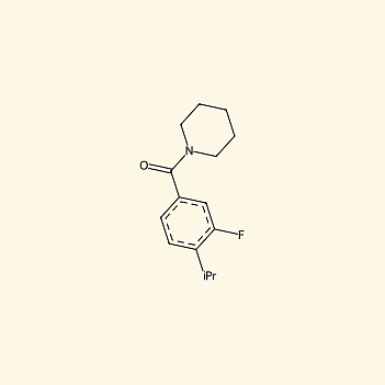 CC(C)c1ccc(C(=O)N2CCCCC2)cc1F